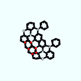 S=P12c3c4cccc3N(c3ccccc3)c3cc5cc6c7c(c5c(c31)N(c1ccccc1)c1cccc(c12)O4)N(c1ccccc1)c1cccc2c1P7(=S)c1c(cccc1N6c1ccccc1)O2